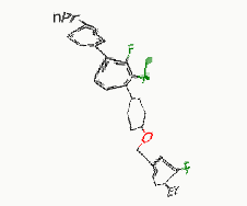 CCCc1ccc(-c2ccc(C3CCC(OCC4=CC[C@H](CC)C(F)=C4)CC3)c(F)c2F)cc1